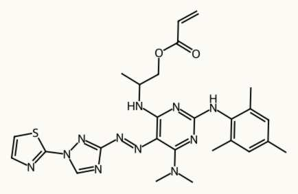 C=CC(=O)OCC(C)Nc1nc(Nc2c(C)cc(C)cc2C)nc(N(C)C)c1N=Nc1ncn(-c2nccs2)n1